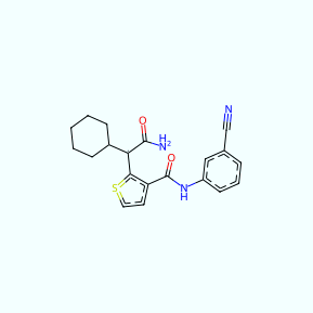 N#Cc1cccc(NC(=O)c2ccsc2[C](C(N)=O)C2CCCCC2)c1